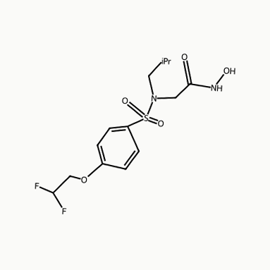 CC(C)CN(CC(=O)NO)S(=O)(=O)c1ccc(OCC(F)F)cc1